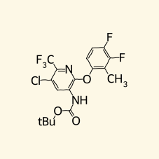 Cc1c(Oc2nc(C(F)(F)F)c(Cl)cc2NC(=O)OC(C)(C)C)ccc(F)c1F